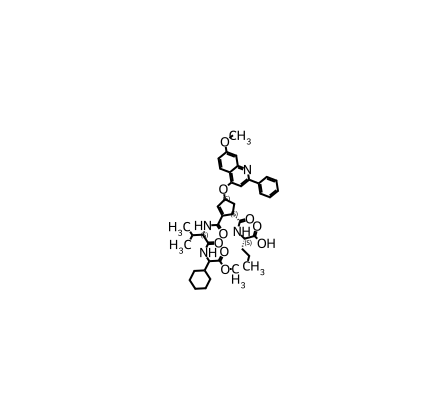 CCC[C@H](NC(=O)[C@H]1C[C@H](Oc2cc(-c3ccccc3)nc3cc(OC)ccc23)C=C1C(=O)N[C@H](C(=O)NC(C(=O)OC)C1CCCCC1)C(C)C)C(=O)O